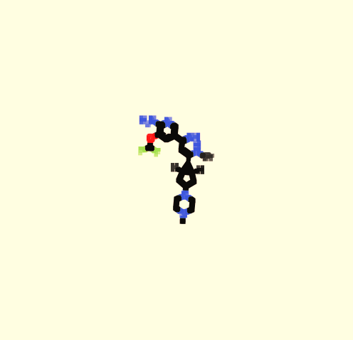 CC(C)N/C(=C\C(=N)c1cnc(N)c(OC(F)F)c1)[C@H]1[C@@H]2CC(N3CCN(C)CC3)C[C@@H]21